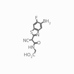 Bc1cc2nc(C(C#N)C(=O)NCC(=O)O)sc2cc1F